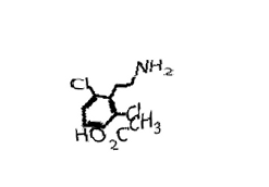 CC(=O)O.NCCc1c(Cl)cccc1Cl